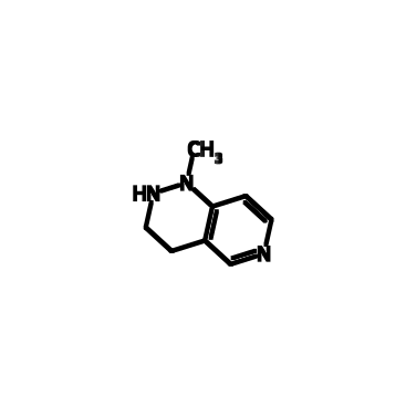 CN1NCCc2cnccc21